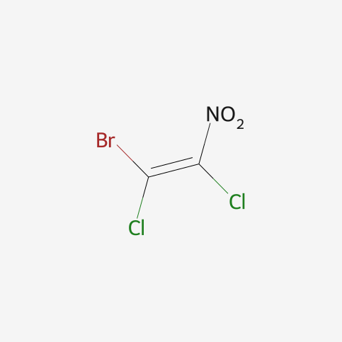 O=[N+]([O-])C(Cl)=C(Cl)Br